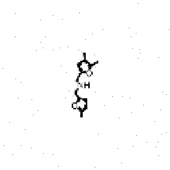 Cc1ccc(CNCc2cc(C)c(C)o2)o1